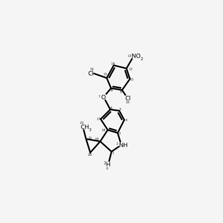 [2H]C1Nc2ccc(Oc3c(Cl)cc([N+](=O)[O-])cc3Cl)cc2C12CC2C